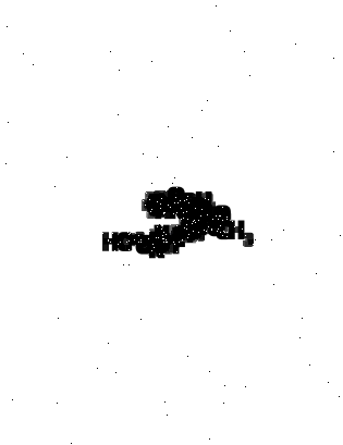 C#CCOc1cnc(/C(F)=C/c2ccc(F)c([C@]34CN(C(=O)OC)C[C@H]3CSC(NC(=O)c3ccccc3)=N4)c2)cn1